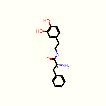 N[C@@H](Cc1ccccc1)C(=O)NCCc1ccc(O)c(O)c1